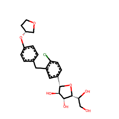 OCC(O)[C@H]1O[C@@H](c2ccc(Cl)c(Cc3ccc(O[C@@H]4CCOC4)cc3)c2)[C@H](O)[C@H]1O